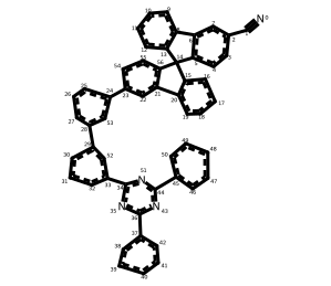 N#Cc1ccc2c(c1)-c1ccccc1C21c2ccccc2-c2cc(-c3cccc(-c4cccc(-c5nc(-c6ccccc6)nc(-c6ccccc6)n5)c4)c3)ccc21